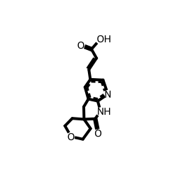 O=C(O)/C=C/c1cnc2c(c1)CC1(CCOCC1)C(=O)N2